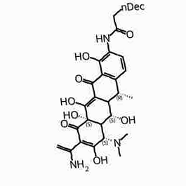 C=C(N)C1=C(O)[C@@H](N(C)C)C2[C@@H](O)C3C(=C(O)[C@]2(O)C1=O)C(=O)c1c(ccc(NC(=O)CCCCCCCCCCC)c1O)[C@@H]3C